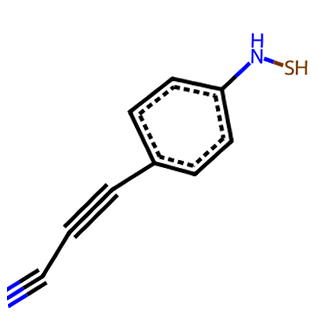 N#CC#Cc1ccc(NS)cc1